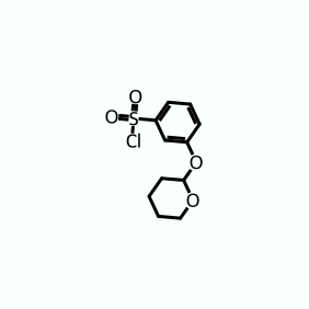 O=S(=O)(Cl)c1cccc(OC2CCCCO2)c1